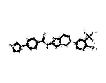 Nc1ncc([C@H]2C=Cc3nc(NC(=O)c4ccc(-n5ccnc5)cc4)cn3C2)cc1C(F)(F)F